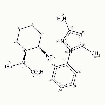 CC(C)(C)N(C(=O)O)[C@H]1CCCC[C@H]1N.Cc1cc(N)nn1-c1ccccc1